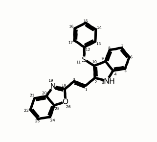 C(=C\c1[nH]c2ccccc2c1Sc1ccccc1)/c1nc2ccccc2o1